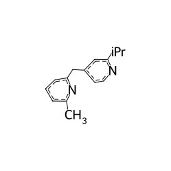 Cc1cccc(Cc2ccnc(C(C)C)c2)n1